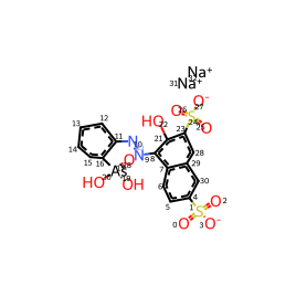 O=S(=O)([O-])c1ccc2c(/N=N/c3ccccc3[As](=O)(O)O)c(O)c(S(=O)(=O)[O-])cc2c1.[Na+].[Na+]